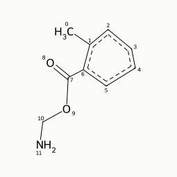 Cc1ccccc1C(=O)OCN